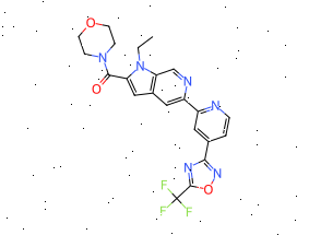 CCn1c(C(=O)N2CCOCC2)cc2cc(-c3cc(-c4noc(C(F)(F)F)n4)ccn3)ncc21